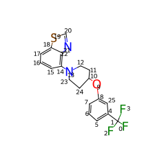 FC(F)(F)c1cccc(OC2CCN(c3cccc4scnc34)CC2)c1